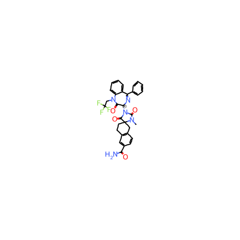 CN1C(=O)N([C@H]2N=C(c3ccccc3)c3ccccc3N(CC(F)(F)F)C2=O)C(=O)C12CCc1cc(C(N)=O)ccc1C2